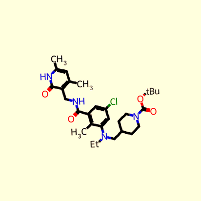 CCN(CC1CCN(C(=O)OC(C)(C)C)CC1)c1cc(Cl)cc(C(=O)NCc2c(C)cc(C)[nH]c2=O)c1C